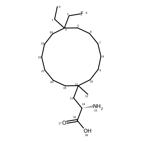 CCC1(CF)CCCCCCC(C)(C[C@H](N)C(=O)O)CCCCCC1